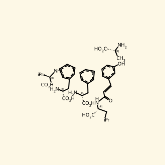 CC(C)C[C@@H](NC(=O)C=Cc1cccc(O)c1)C(=O)O.CC(C)[C@@H](N)C(=O)O.C[C@@H](N)C(=O)O.N[C@H](Cc1ccccc1)C(=O)O.N[C@H](Cc1ccccc1)C(=O)O